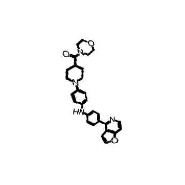 O=C(C1CCN(c2ccc(Nc3ccc(-c4nccc5occc45)cc3)cc2)CC1)N1CCOCC1